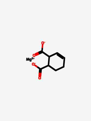 O=C([O-])C1C=CCCC1C(=O)[O-].[Mg+2]